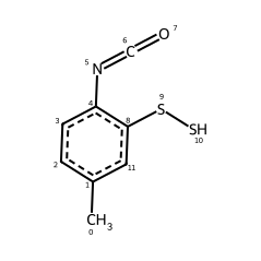 Cc1ccc(N=C=O)c(SS)c1